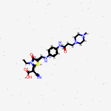 CCn1c(=C(C#N)C(=O)O)sc(=CNc2ccc(NC(=O)CCN3CCN(C)CC3)cc2)c1=O